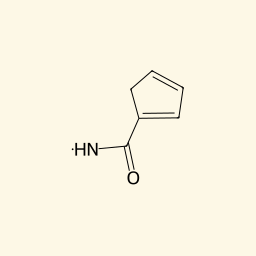 [NH]C(=O)C1=CC=CC1